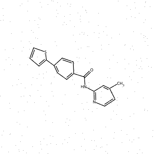 Cc1ccnc(NC(=O)c2ccc(-c3cccs3)cc2)c1